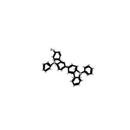 Brc1ccc2c3cc(-c4ccc5c(c4)c4ccccc4n5-c4ccccc4)ccc3n(-c3ccccc3)c2c1